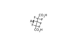 O=C(O)C(F)(F)C(F)(F)C(F)(F)C(=O)O.[Ag]